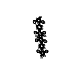 CC1=CC(=O)N(c2ccc(N3C(=O)C4C(C)(C3=O)C3C(=O)N(c5ccc(N6C(=O)C=C(C)C6=O)cc5)C(=O)C43C)cc2)C1=O